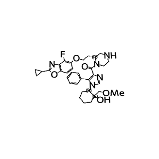 COC[C@]1(O)CCCC[C@H]1n1cnc(C(=O)N2CCNC[C@H]2CCOc2ccc3oc(C4CC4)nc3c2F)c1-c1ccccc1